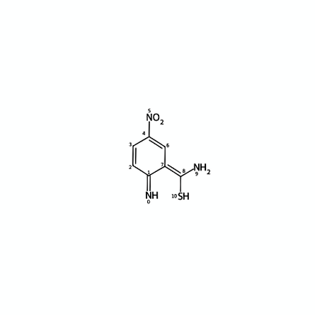 N=C1C=CC([N+](=O)[O-])=C/C1=C(\N)S